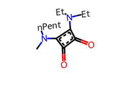 CCCCCN(C)c1c(N(CC)CC)c(=O)c1=O